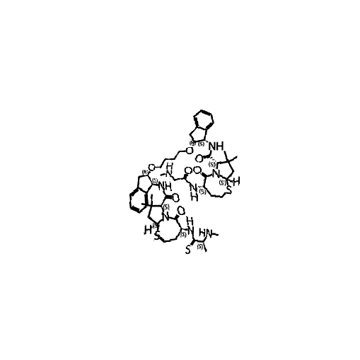 CNCC(=O)N[C@H]1CCS[C@H]2CC(C)(C)[C@@H](C(=O)N[C@H]3c4ccccc4C[C@H]3OCCCCO[C@@H]3Cc4ccccc4[C@@H]3NC(=O)[C@H]3N4C(=O)[C@@H](NC(=S)[C@H](C)NC)CCS[C@H]4CC3(C)C)N2C1=O